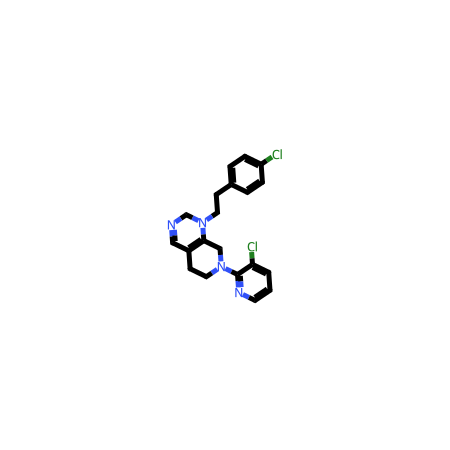 Clc1ccc(CCN2CN=CC3=C2CN(c2ncccc2Cl)CC3)cc1